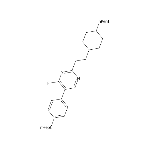 CCCCCCCc1ccc(-c2cnc(CCC3CCC(CCCCC)CC3)nc2F)cc1